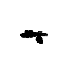 COc1cc(-c2ccc3ccc4cccc5ccc2c3c45)cc(Oc2ccc(-c3ccc4c(c3)C3(c5ccccc5-c5ccccc53)c3cc(-c5ccc(C)cc5)ccc3-4)cc2)c1C(F)(F)F